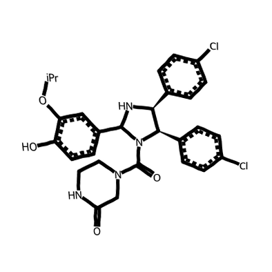 CC(C)Oc1cc(C2N[C@@H](c3ccc(Cl)cc3)[C@@H](c3ccc(Cl)cc3)N2C(=O)N2CCNC(=O)C2)ccc1O